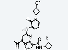 CNc1cc(Nc2cccn([C@H]3C[C@H](OC)C3)c2=O)nc2c(C(=O)NC3CC[C@H]3F)cnn12